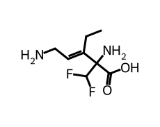 CC/C(=C\CN)C(N)(C(=O)O)C(F)F